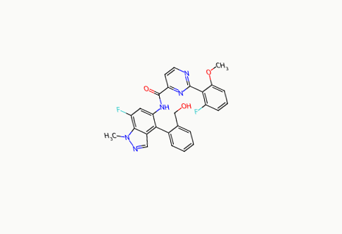 COc1cccc(F)c1-c1nccc(C(=O)Nc2cc(F)c3c(cnn3C)c2-c2ccccc2CO)n1